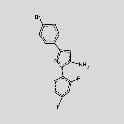 Nc1cc(-c2ccc(Br)cc2)nn1-c1ccc(F)cc1F